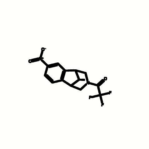 CC1C2CN(C(=O)C(F)(F)F)CC1c1cc([N+](=O)[O-])ccc12